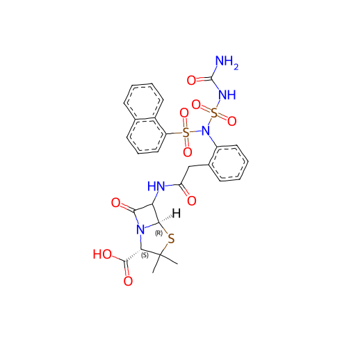 CC1(C)S[C@@H]2C(NC(=O)Cc3ccccc3N(S(=O)(=O)NC(N)=O)S(=O)(=O)c3cccc4ccccc34)C(=O)N2[C@H]1C(=O)O